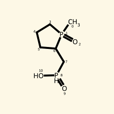 CP1(=O)CCCC1C[PH](=O)O